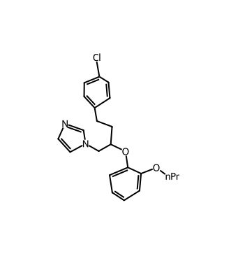 CCCOc1ccccc1OC(CCc1ccc(Cl)cc1)Cn1ccnc1